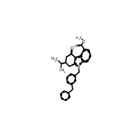 COC(=O)c1cccc2c1c1c(n2Cc2cccc(Cc3ccccc3)c2)CC(C(C)C)CC1=O